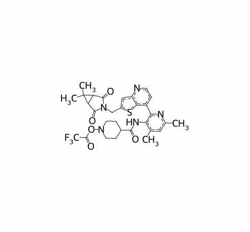 Cc1cc(C)c(NC(=O)C2CCN(OC(=O)C(F)(F)F)CC2)c(-c2ccnc3cc(CN4C(=O)C5C(C4=O)C5(C)C)sc23)n1